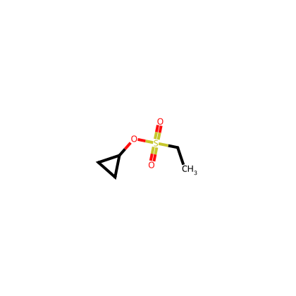 CCS(=O)(=O)OC1CC1